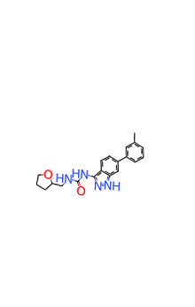 Cc1cccc(-c2ccc3c(NC(=O)NCC4CCCO4)n[nH]c3c2)c1